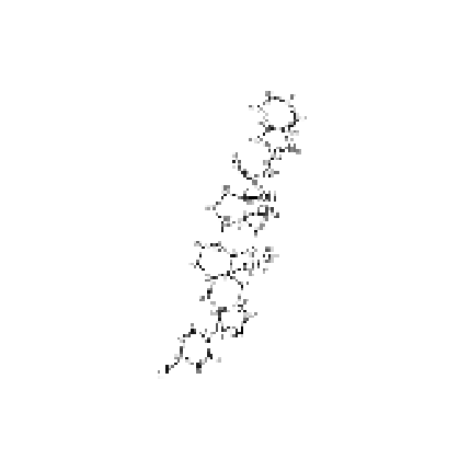 CC12Cc3cnn(-c4ccc(F)cc4)c3C=C1CCC1C2[C@@H](O)CC2(C)C1CC[C@]2(O)C(=O)Nc1nc2cccnc2s1